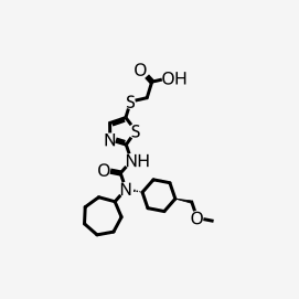 COC[C@H]1CC[C@H](N(C(=O)Nc2ncc(SCC(=O)O)s2)C2CCCCCC2)CC1